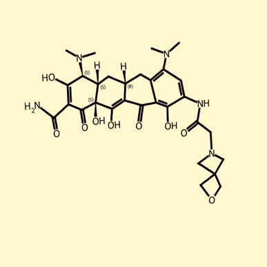 CN(C)c1cc(NC(=O)CN2CC3(COC3)C2)c(O)c2c1C[C@H]1C[C@H]3[C@H](N(C)C)C(O)=C(C(N)=O)C(=O)[C@@]3(O)C(O)=C1C2=O